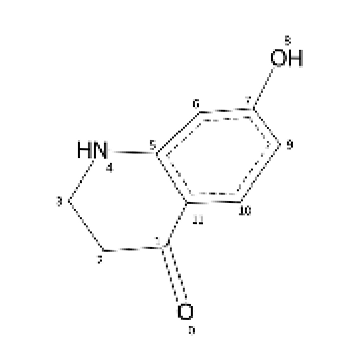 O=C1CCNc2cc(O)ccc21